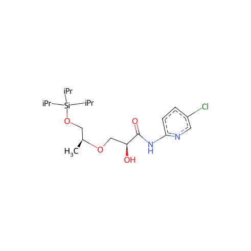 CC(C)[Si](OC[C@H](C)OC[C@H](O)C(=O)Nc1ccc(Cl)cn1)(C(C)C)C(C)C